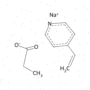 C=Cc1ccncc1.CCC(=O)[O-].[Na+]